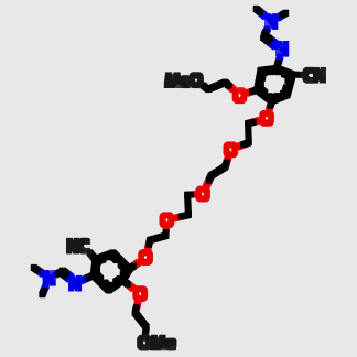 COCCOc1cc(/N=C/N(C)C)c(C#N)cc1OCCOCCOCCOCCOc1cc(C#N)c(/N=C/N(C)C)cc1OCCOC